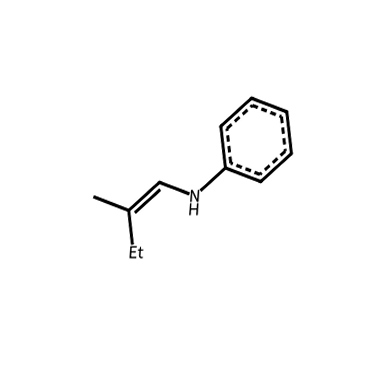 CC/C(C)=C\Nc1ccccc1